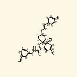 O=C(NCc1ccnc(Cl)c1)N1CC2(CCN(C/C=C/c3ccc(F)cc3)CC2)c2c(Cl)cc(Cl)cc21